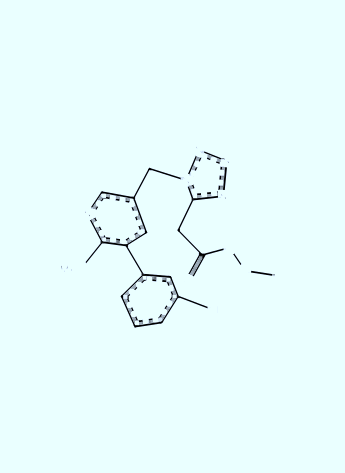 CCOOC(=O)Cc1nnnn1Cc1cnc(OC)c(-c2cccc(Cl)c2)c1